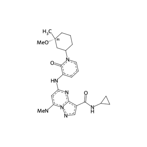 CNc1cc(Nc2cccn(C3CCC[C@@](C)(OC)C3)c2=O)nc2c(C(=O)NC3CC3)cnn12